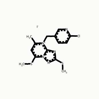 CSc1nc2n(n1)c(SC)cc(C)[n+]2Cc1ccc(Cl)nc1.[I-]